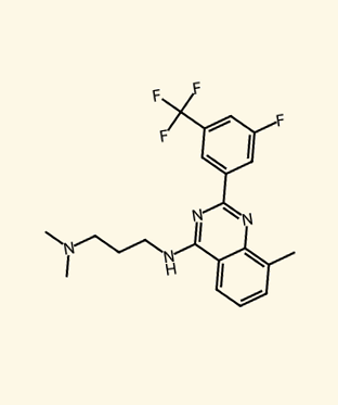 Cc1cccc2c(NCCCN(C)C)nc(-c3cc(F)cc(C(F)(F)F)c3)nc12